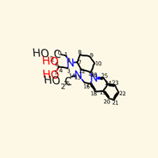 O=C(O)CN(CC(O)O)C1CCCC[C@@H]1N(CC(=O)O)Cc1cc2ccccc2cn1